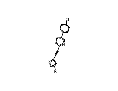 Clc1ccc(-c2ccc(C#Cc3cc(Br)cs3)nc2)cc1